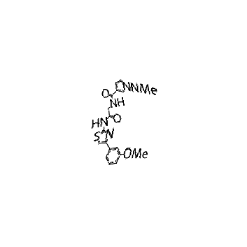 CNn1ccc(C(=O)NCC(=O)Nc2nc(-c3cccc(OC)c3)cs2)c1